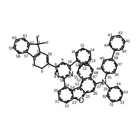 CC1(C)C2=C(CCC(c3cc(-c4ccccc4)nc(-c4cccc5oc6cc(N(c7ccccc7)c7ccc(-c8ccccc8)cc7)c7ccccc7c6c45)n3)=C2)c2ccccc21